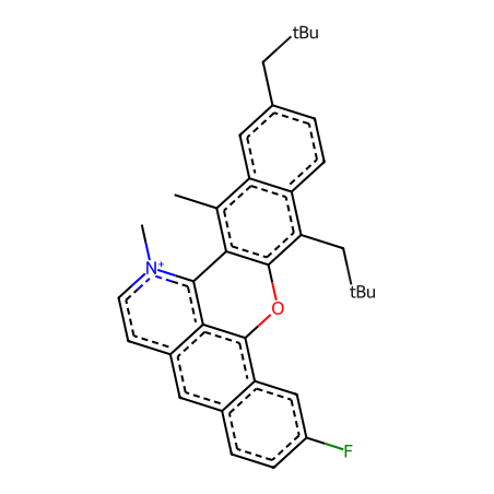 Cc1c2c(c(CC(C)(C)C)c3ccc(CC(C)(C)C)cc13)Oc1c3cc(F)ccc3cc3cc[n+](C)c-2c13